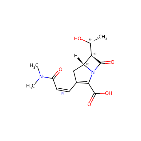 C[C@@H](O)[C@H]1C(=O)N2C(C(=O)O)=C(/C=C\C(=O)N(C)C)C[C@H]12